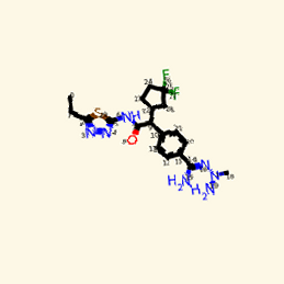 CCc1nnc(NC(=O)C(c2ccc(/C(N)=N/N(C)N)cc2)C2CCC(F)(F)C2)s1